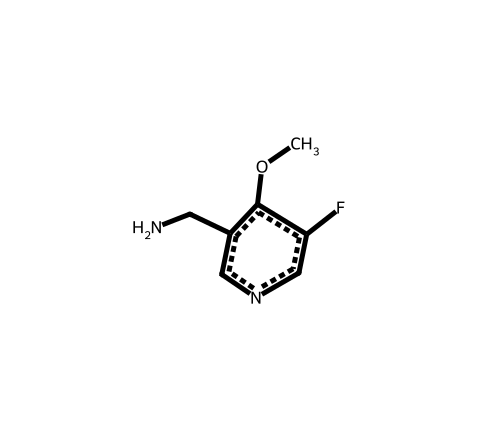 COc1c(F)cncc1CN